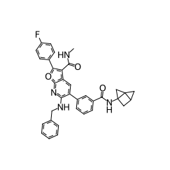 CNC(=O)c1c(-c2ccc(F)cc2)oc2nc(NCc3ccccc3)c(-c3cccc(C(=O)NC45CC6CC64C5)c3)cc12